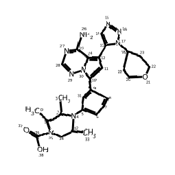 CC1C(C)N(c2cccc(-c3cc(-c4cnnn4C4CCOCC4)c4c(N)ncnn34)c2)C(C)CN1C(=O)O